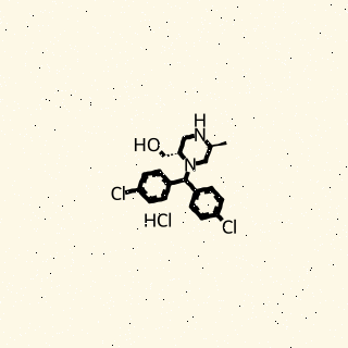 C[C@H]1CN(C(c2ccc(Cl)cc2)c2ccc(Cl)cc2)[C@H](CO)CN1.Cl